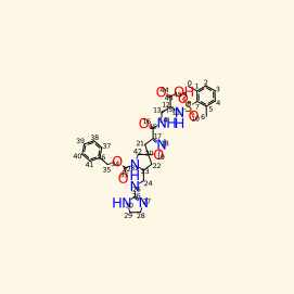 Cc1cccc(C)c1S(=O)(=O)N[C@@H](CNC(=O)C1=NOC2(C1)CC(CNC1=NCCN1)N(C(=O)OCc1ccccc1)C2)C(=O)O